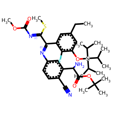 CCc1cc(O[Si](C(C)C)(C(C)C)C(C)C)c(F)c(C(=N\c2ccc(C#N)c(C(N)C(=O)OC(C)(C)C)c2)/C(=N/C(=O)OC)SC)c1